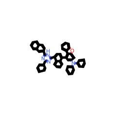 c1ccc(C2=NC(c3ccc(-c4cc(N(c5ccccc5)c5ccccc5)cc5oc6ccccc6c45)c4ccccc34)NC(c3ccc4ccccc4c3)=N2)cc1